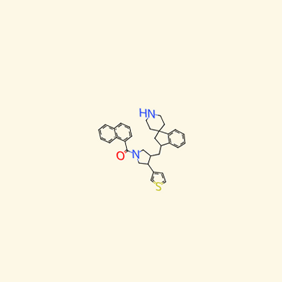 O=C(c1cccc2ccccc12)N1CC(CC2CC3(CCNCC3)c3ccccc32)C(c2ccsc2)C1